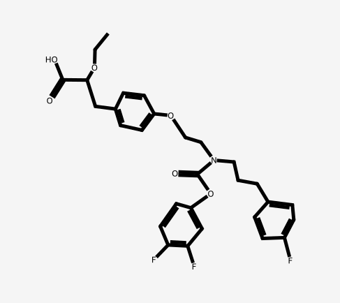 CCOC(Cc1ccc(OCCN(CCCc2ccc(F)cc2)C(=O)Oc2ccc(F)c(F)c2)cc1)C(=O)O